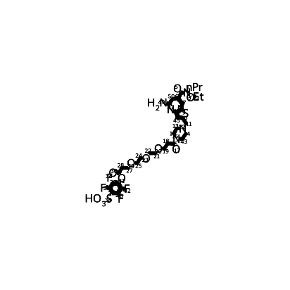 CCCN(OCC)C(=O)C1=Cc2sc(CN3CCN(C(=O)CCOCCOCCOCCC(=O)Oc4c(F)c(F)c(S(=O)(=O)O)c(F)c4F)CC3)cc2N=C(N)C1